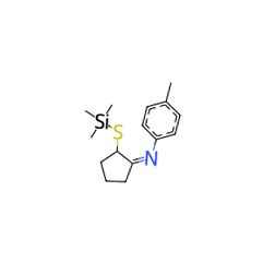 Cc1ccc(N=C2CCCC2S[Si](C)(C)C)cc1